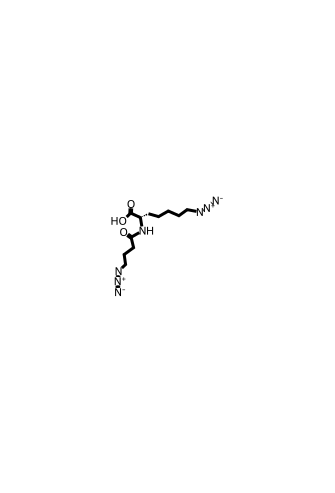 [N-]=[N+]=NCCCCC[C@H](NC(=O)CCCN=[N+]=[N-])C(=O)O